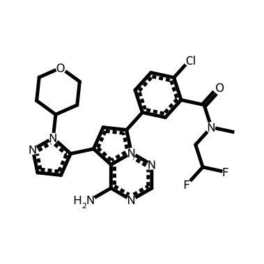 CN(CC(F)F)C(=O)c1cc(-c2cc(-c3ccnn3C3CCOCC3)c3c(N)ncnn23)ccc1Cl